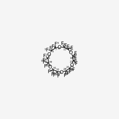 FC1(F)OC(F)(F)C(F)(F)OC(F)(F)C(F)(F)OC(F)(F)C(F)(F)OC(F)(F)C(F)(F)OC(F)(F)C(F)(F)OC1(F)F